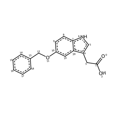 O=C(O)Cc1c[nH]c2ccc(OCc3ccccc3)cc12